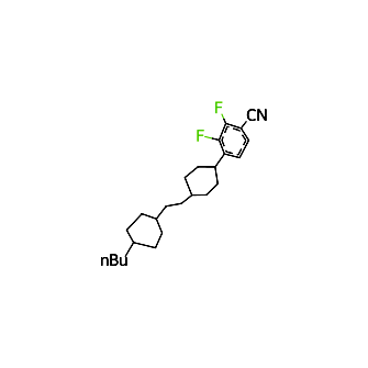 CCCCC1CCC(CCC2CCC(c3ccc(C#N)c(F)c3F)CC2)CC1